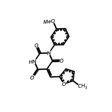 COc1cccc(N2C(=O)NC(=O)C(=Cc3ccc(C)o3)C2=O)c1